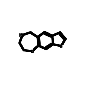 c1cc2cc3c(cc2s1)OCCNC3